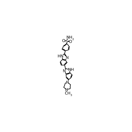 CN1CCN(c2ccc3[nH]c(-c4ccc5[nH]c(-c6ccc(S(N)(=O)=O)cc6)nc5c4)nc3c2)CC1